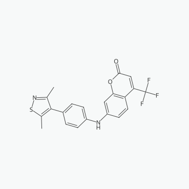 Cc1nsc(C)c1-c1ccc(Nc2ccc3c(C(F)(F)F)cc(=O)oc3c2)cc1